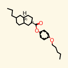 CCCCCOc1ccc(OC(=O)[C@@H]2CC[C@@H]3CC(CCC)CCC3C2)cc1